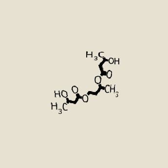 CC(O)CC(=O)OCCC(C)OC(=O)CC(C)O